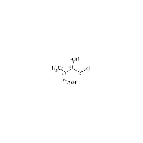 CC(CO)C(O)CCl